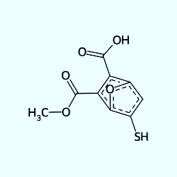 COC(=O)c1c(C(=O)O)c2cc(S)c1o2